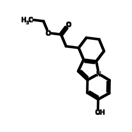 CCOC(=O)CC1CCCc2c1cc1cc(O)ccn21